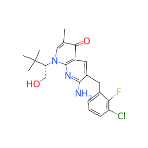 Cc1cn([C@H](CO)C(C)(C)C)c2nc(N)c(Cc3cccc(Cl)c3F)cc2c1=O